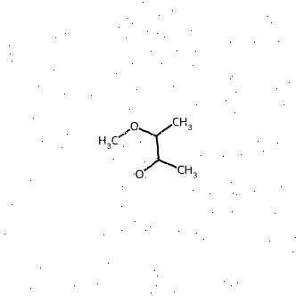 COC(C)C(C)[O]